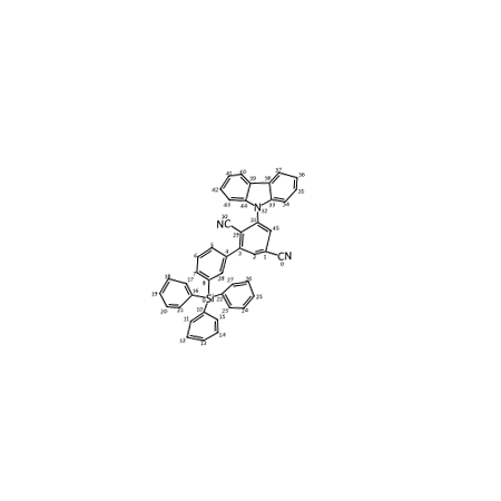 N#Cc1cc(-c2cccc([Si](c3ccccc3)(c3ccccc3)c3ccccc3)c2)c(C#N)c(-n2c3ccccc3c3ccccc32)c1